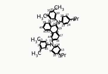 Cc1cc(C)cc(N(c2ccc(C(C)C)cc2)c2ccc3cc(N(c4ccc(C(C)C)cc4)c4cc(C)cc(C)c4)c4ccccc4c3c2)c1